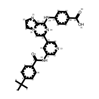 CC(C)(C)c1ccc(C(=O)Nc2cncc(-c3cn4ccnc4c(Nc4ccc(C(=O)O)cc4)n3)c2)cc1